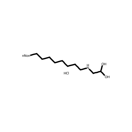 CCCCCCCCCCCCCCCCCNCC(O)O.Cl